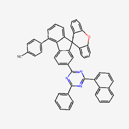 N#Cc1ccc(-c2cccc3c2-c2ccc(-c4nc(-c5ccccc5)nc(-c5cccc6ccccc56)n4)cc2C32c3ccccc3Oc3ccccc32)cc1